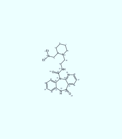 CCN(CC)CC1CCCCN1CCNC(=O)N1c2ccccc2NC(=O)c2cccnc21